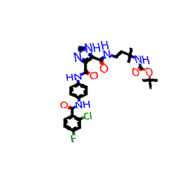 CC(C)(CCNC(=O)c1[nH]cnc1C(=O)Nc1ccc(NC(=O)c2ccc(F)cc2Cl)cc1)NC(=O)OC(C)(C)C